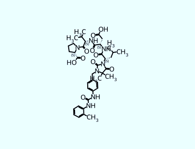 Cc1ccccc1NC(=O)Nc1ccc(CN2C(=O)N([C@@H](CC(C)C)C(=O)N[C@@H](CC(=O)O)C(=O)N[C@H](C(=O)N3CCC[C@H]3C(=O)O)C(C)C)C(=O)C2(C)C)cc1